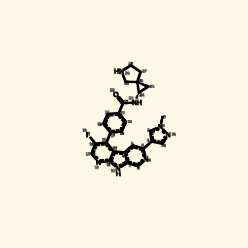 Cn1cc(-c2cc3c(cn2)[nH]c2ncc(F)c(-c4ccc(C(=O)N[C@H]5C[C@@]56CCNC6)cc4)c23)cn1